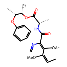 C=N/C(C(=O)N[C@@H](C)C(=O)O[C@@H](CC)[C@@H](C)Oc1ccccc1)=C(OC(C)=O)\C(=C/C)OC